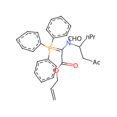 C=CCOC(=O)C(N(C=O)C(CCC)CC(C)=O)=P(c1ccccc1)(c1ccccc1)c1ccccc1